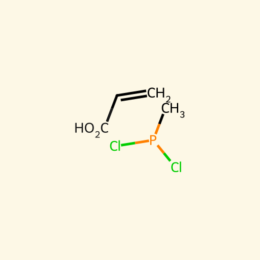 C=CC(=O)O.CP(Cl)Cl